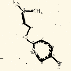 CN(C)CCOc1ccc(Br)cn1